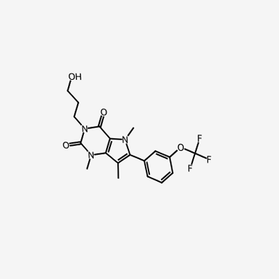 Cc1c(-c2cccc(OC(F)(F)F)c2)n(C)c2c(=O)n(CCCO)c(=O)n(C)c12